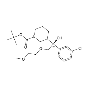 COCCOC[C@@](O)(c1cccc(Cl)c1)C1CCCN(C(=O)OC(C)(C)C)C1